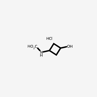 Cl.O=C(O)NC1CC(O)C1